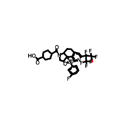 O=C(O)C1CCC(C(=O)N2CCC3(S(=O)(=O)c4cccc(F)c4)c4cnc(C(F)(C(F)(F)F)C(F)(F)F)cc4CCC23)CC1